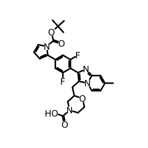 Cc1ccn2c(CC3CN(C(=O)O)CCO3)c(-c3c(F)cc(-c4cccn4C(=O)OC(C)(C)C)cc3F)nc2c1